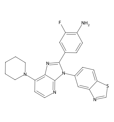 Nc1ccc(-c2nc3c(N4CCCCC4)ccnc3n2-c2ccc3scnc3c2)cc1F